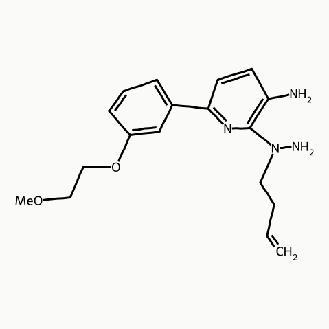 C=CCCN(N)c1nc(-c2cccc(OCCOC)c2)ccc1N